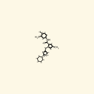 Cc1cc(C(=O)Nc2ccc(I)c(C)c2)n(Cc2csc(N3CCCCC3)n2)c1